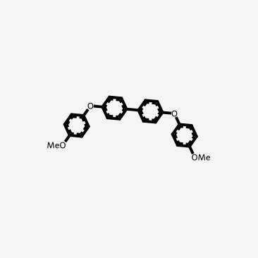 COc1ccc(Oc2ccc(-c3ccc(Oc4ccc(OC)cc4)cc3)cc2)cc1